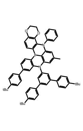 Cc1cc2c3c(c1)N(c1ccccc1)c1c(ccc4c1OCCO4)B3c1ccc(-c3ccc(C(C)(C)C)cc3)cc1N2c1cc(-c2ccc(C(C)(C)C)cc2)cc(-c2ccc(C(C)(C)C)cc2)c1